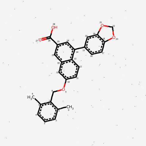 Cc1cccc(C)c1COc1ccc2c(-c3ccc4c(c3)OCO4)cc(C(=O)O)cc2c1